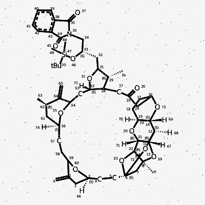 C=C1C[C@@H]2CC[C@@]34C[C@]5(C)O[C@H]6[C@@H](O3)[C@H]3OC(CC[C@@H]3O[C@H]6[C@H]5O4)CC(=O)CC3[C@@H](C)C(C[C@@H](CN4C(=O)c5ccccc5C4=O)O[Si](C)(C)C(C)(C)C)O[C@H]3CC3O[C@@H](CCC1O2)C[C@@H](C)C3=C